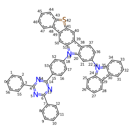 c1ccc(-c2nc(-c3ccccc3)nc(-c3ccc(-n4c5cc(-n6c7ccccc7c7ccccc76)ccc5c5cc6sc7ccccc7c6cc54)cc3)n2)cc1